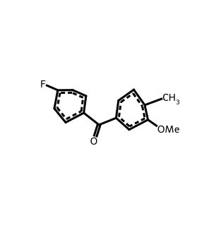 COc1cc(C(=O)c2ccc(F)cc2)ccc1C